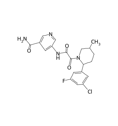 CC1CCC(c2cc(F)cc(Cl)c2)N(C(=O)C(=O)Nc2cncc(C(N)=O)c2)C1